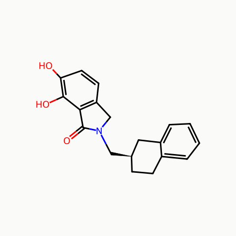 O=C1c2c(ccc(O)c2O)CN1C[C@@H]1CCc2ccccc2C1